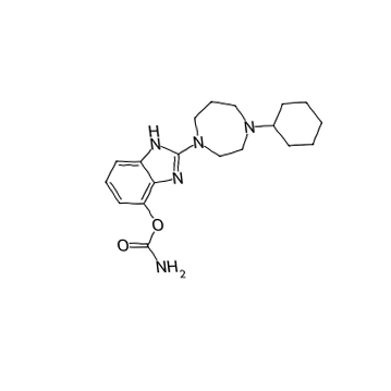 NC(=O)Oc1cccc2[nH]c(N3CCCN(C4CCCCC4)CC3)nc12